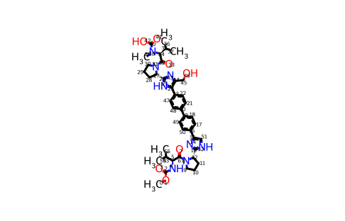 COC(=O)N[C@H](C(=O)N1CCC[C@H]1c1nc(-c2ccc(-c3ccc(-c4[nH]c([C@@H]5CCCN5C(=O)[C@H](C(C)C)N(C)C(=O)O)nc4CO)cc3)cc2)c[nH]1)C(C)C